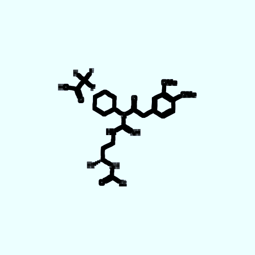 CCC(=O)N[C@H](CC)CCNC(=N)N(C(=O)Cc1ccc(OC)c(OC)c1)C1CCCCC1.O=C(O)C(F)(F)F